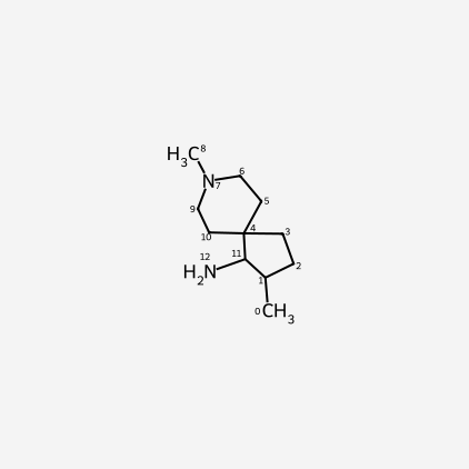 CC1CCC2(CCN(C)CC2)C1N